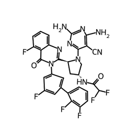 N#Cc1c(N)nc(N)nc1N1C[C@H](NC(=O)C(F)F)C[C@H]1c1nc2cccc(F)c2c(=O)n1-c1cc(F)cc(-c2cccc(F)c2F)c1